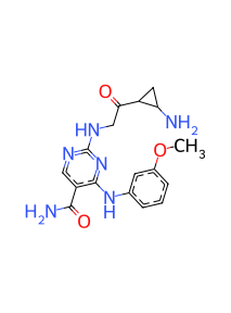 COc1cccc(Nc2nc(NCC(=O)C3CC3N)ncc2C(N)=O)c1